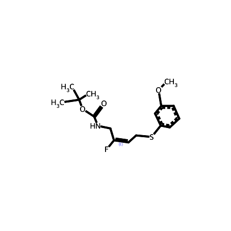 COc1cccc(SC/C=C(/F)CNC(=O)OC(C)(C)C)c1